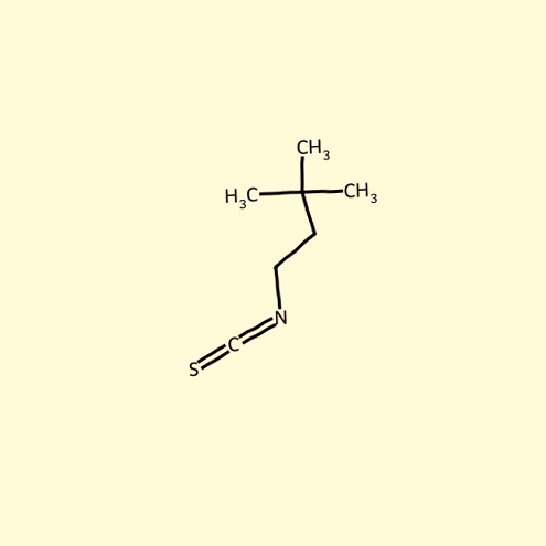 CC(C)(C)CCN=C=S